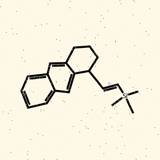 C[Si](C)(C)/C=C/C1CCCc2cc3ccccc3cc21